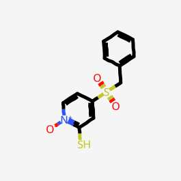 O=S(=O)(Cc1ccccc1)c1cc[n+]([O-])c(S)c1